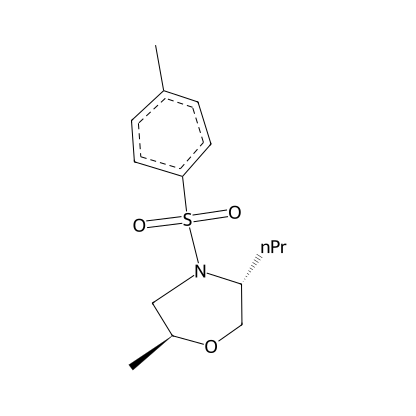 CCC[C@@H]1CO[C@@H](C)CN1S(=O)(=O)c1ccc(C)cc1